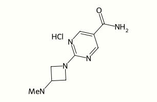 CNC1CN(c2ncc(C(N)=O)cn2)C1.Cl